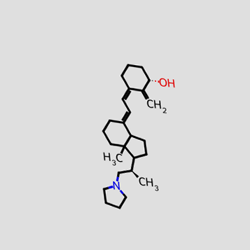 C=C1/C(=C\C=C2/CCCC3(C)C2CCC3[C@@H](C)CN2CCCC2)CCC[C@@H]1O